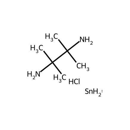 CC(C)(N)C(C)(C)N.Cl.[SnH2]